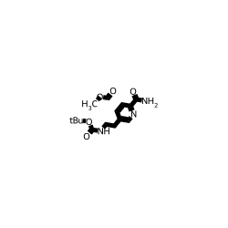 CC(C)(C)OC(=O)NCCc1ccc(C(N)=O)nc1.COC=O